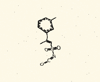 CC(=CS(=O)(=O)N=C=O)c1cccc(C)c1